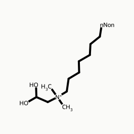 CCCCCCCCCCCCCCCC[N+](C)(C)CC(O)O